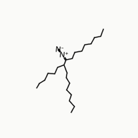 CCCCCCCCC(=[N+]=[N-])C(CCCCCC)CCCCCCCC